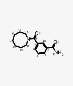 NC(=O)c1cccc(C(=O)N2CCCCCCC2)c1